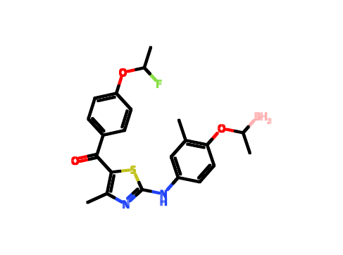 BC(C)Oc1ccc(Nc2nc(C)c(C(=O)c3ccc(OC(C)F)cc3)s2)cc1C